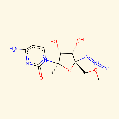 COC[C@@]1(N=[N+]=[N-])O[C@@](C)(n2ccc(N)nc2=O)[C@H](O)[C@@H]1O